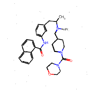 CCCN(CC1CCN(C(=O)N2CCOCC2)CC1)C(C)Cc1cccc(NC(=O)c2cccc3ccccc23)c1